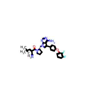 CC(C)(C)C=C(C#N)C(=O)N1CCC[C@H]1Cn1cc(-c2ccc(Oc3cccc(F)c3F)cc2)c2c(N)ncnc21